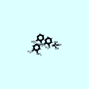 Cc1ccccc1N.Cc1ccccc1N.Cc1ccccc1N.OP(O)(=S)S